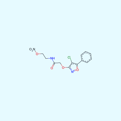 O=C(COc1noc(-c2ccccc2)c1Cl)NCCO[N+](=O)[O-]